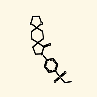 CCS(=O)(=O)c1ccc(N2CCC3(CCC4(CC3)OCCO4)C2=O)cc1